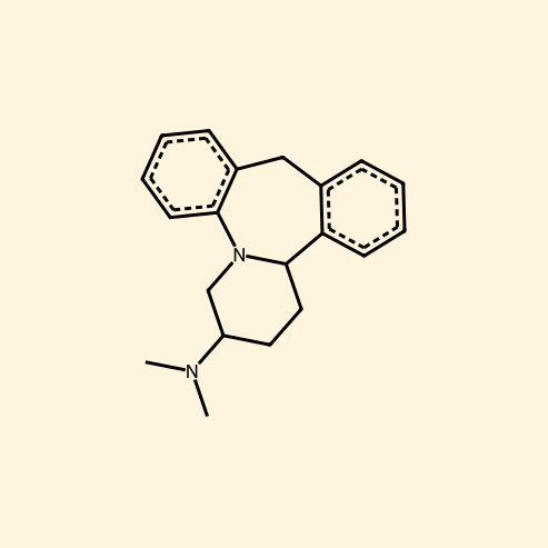 CN(C)C1CCC2c3ccccc3Cc3ccccc3N2C1